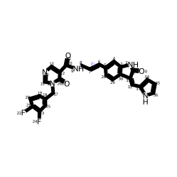 O=C1Nc2cc(/C=C/CNC(=O)c3cncn(Cc4ccc(F)c(F)c4)c3=O)ccc2C1=Cc1ccc[nH]1